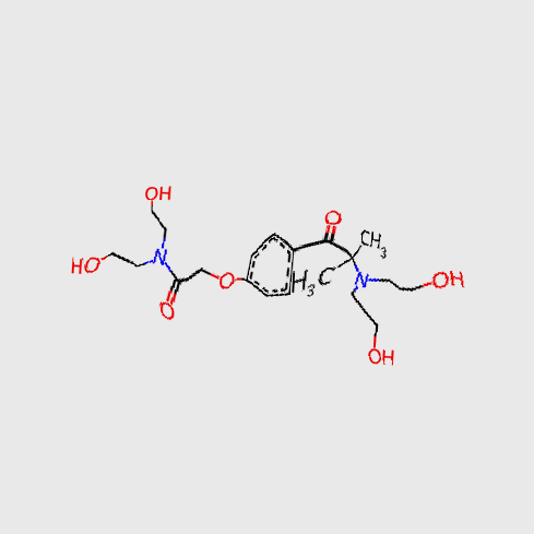 CC(C)(C(=O)c1ccc(OCC(=O)N(CCO)CCO)cc1)N(CCO)CCO